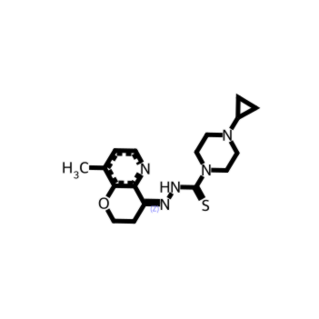 Cc1ccnc2c1OCC/C2=N/NC(=S)N1CCN(C2CC2)CC1